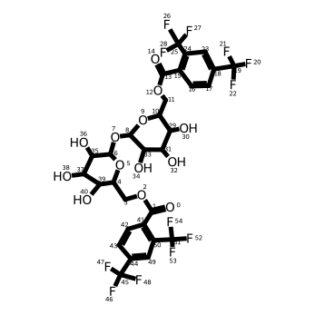 O=C(OCC1OC(OC2OC(COC(=O)c3ccc(C(F)(F)F)cc3C(F)(F)F)C(O)C(O)C2O)C(O)C(O)C1O)c1ccc(C(F)(F)F)cc1C(F)(F)F